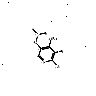 Cc1c(Br)ncc(O[SiH](C)C)c1C(C)(C)C